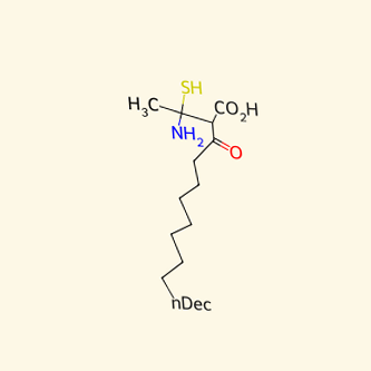 CCCCCCCCCCCCCCCCCC(=O)C(C(=O)O)C(C)(N)S